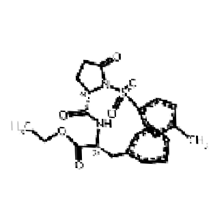 CCOC(=O)[C@H](Cc1ccccc1)NC(=O)[C@@H]1CCC(=O)N1S(=O)(=O)c1ccc(C)cc1